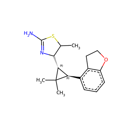 CC1SC(N)=NC1[C@@H]1[C@@H](c2cccc3c2CCO3)C1(C)C